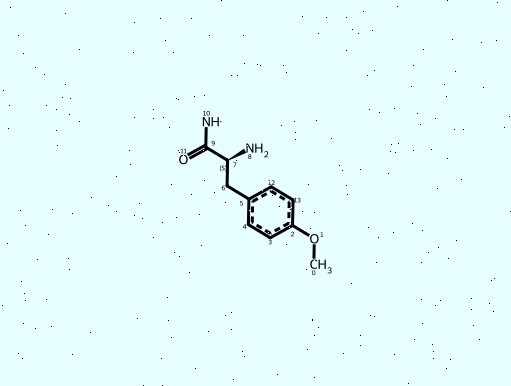 COc1ccc(C[C@H](N)C([NH])=O)cc1